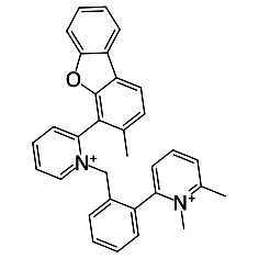 Cc1ccc2c(oc3ccccc32)c1-c1cccc[n+]1Cc1ccccc1-c1cccc(C)[n+]1C